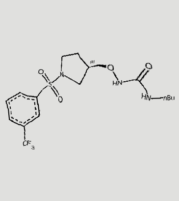 CCCCNC(=O)NO[C@@H]1CCN(S(=O)(=O)c2cccc(C(F)(F)F)c2)C1